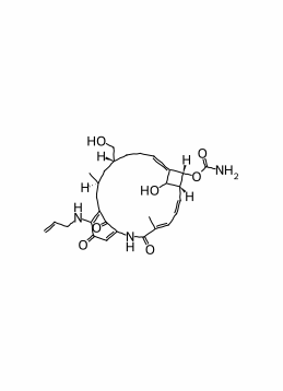 C=CCNC1=C2C[C@@H](C)C[C@H](CO)CC/C=C3\C(O)[C@@H](/C=C\C=C(/C)C(=O)NC(=CC1=O)C2=O)[C@H]3OC(N)=O